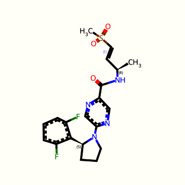 C[C@H](/C=C/S(C)(=O)=O)NC(=O)c1cnc(N2CCC[C@H]2c2c(F)cccc2F)cn1